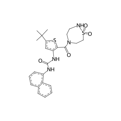 CC(C)(C)c1cc(NC(=O)Nc2cccc3ccccc23)c(C(=O)N2CCNS(=O)(=O)CC2)s1